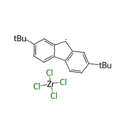 CC(C)(C)c1ccc2c(c1)[CH]c1cc(C(C)(C)C)ccc1-2.[Cl][Zr]([Cl])([Cl])[Cl]